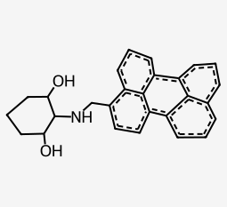 OC1CCCC(O)C1NCc1ccc2c3cccc4cccc(c5cccc1c52)c43